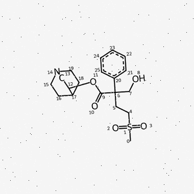 CS(=O)(=O)CCC(CO)(C(=O)OC1CN2CCC1CC2)c1ccccc1